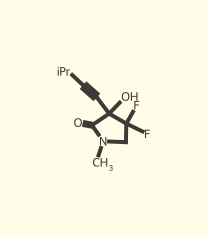 CC(C)C#CC1(O)C(=O)N(C)CC1(F)F